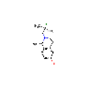 C[C@H]1c2ccc(O)cc2CCN1CC(C)(C)F